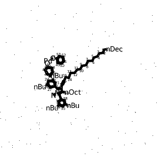 CCCCCCCCCCCCCCCCCCCCCCCCCC#CC1=C(c2cc(CCCC)cc(CCCC)c2)[N+](=[N-])C(c2cc(CCCC)cc(CCCC)c2)=C1CCCCCCCC.c1ccc([O][Pd][O]c2ccccc2)cc1